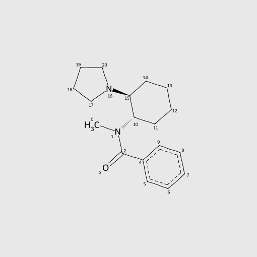 CN(C(=O)c1ccccc1)[C@H]1CCCC[C@@H]1N1CCCC1